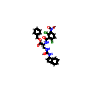 O=C(NC[C@H](NC(=O)c1c(Cl)ccc([N+](=O)[O-])c1Cl)C(=O)OCc1ccccc1)N[C@@H]1CCc2ccccc21